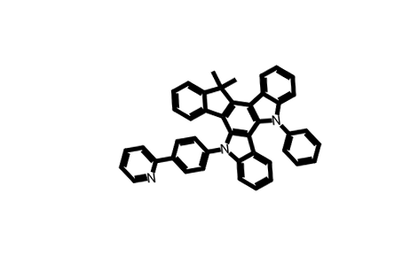 CC1(C)c2ccccc2-c2c1c1c3ccccc3n(-c3ccccc3)c1c1c3ccccc3n(-c3ccc(-c4ccccn4)cc3)c21